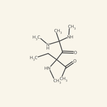 CCC(NC)(C(C)=O)C(=O)C(C)(NC)NC